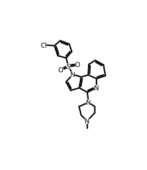 CN1CCN(c2nc3ccccc3c3c2ccn3S(=O)(=O)c2cccc(Cl)c2)CC1